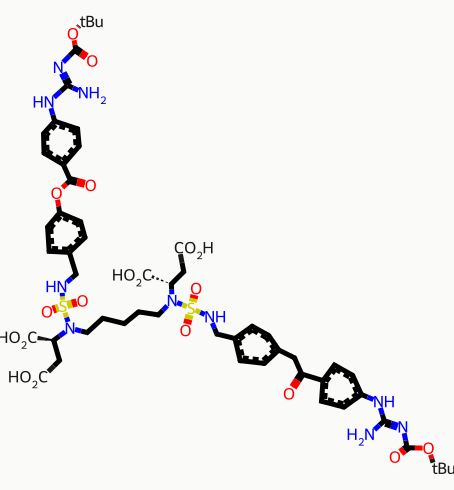 CC(C)(C)OC(=O)/N=C(\N)Nc1ccc(C(=O)Cc2ccc(CNS(=O)(=O)N(CCCCCN([C@@H](CC(=O)O)C(=O)O)S(=O)(=O)NCc3ccc(OC(=O)c4ccc(N/C(N)=N/C(=O)OC(C)(C)C)cc4)cc3)[C@@H](CC(=O)O)C(=O)O)cc2)cc1